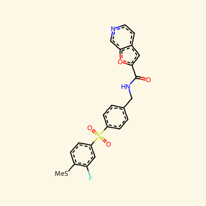 CSc1ccc(S(=O)(=O)c2ccc(CNC(=O)c3cc4ccncc4o3)cc2)cc1F